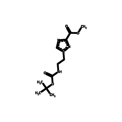 COC(=O)c1ncn(CCNC(=O)OC(C)(C)C)n1